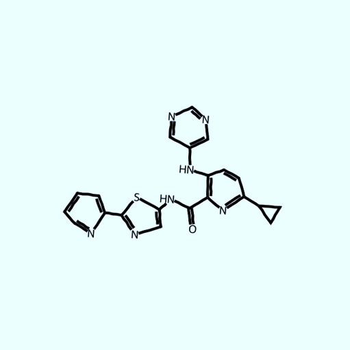 O=C(Nc1cnc(-c2ccccn2)s1)c1nc(C2CC2)ccc1Nc1cncnc1